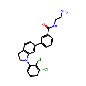 NCCNC(=O)c1cccc(-c2ccc3c(c2)N(c2cccc(Cl)c2Cl)CC3)c1